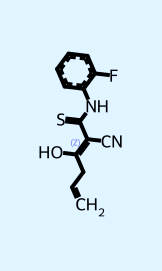 C=CC/C(O)=C(\C#N)C(=S)Nc1ccccc1F